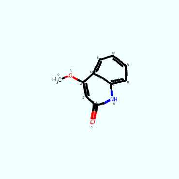 COc1cc(=O)[nH]c2ccccc12